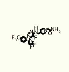 NC(=O)CN1CCC(CNc2ncnc(N3CC(F)(F)C[C@H]3c3ccc(C(F)(F)F)cc3)c2F)CC1